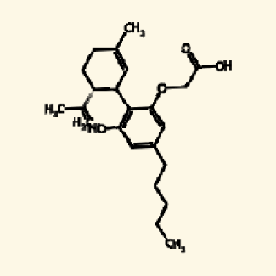 C=C(C)[C@@H]1CCC(C)=CC1c1c(O)cc(CCCCC)cc1OCC(=O)O